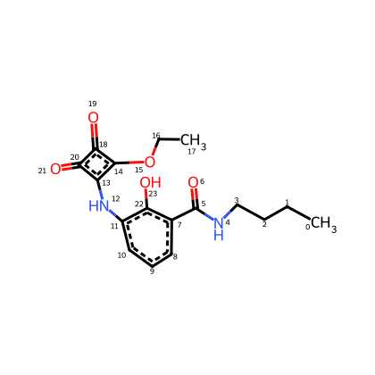 CCCCNC(=O)c1cccc(Nc2c(OCC)c(=O)c2=O)c1O